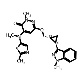 Cc1ncc(N(C)c2cc(OC[C@@H]3C[C@H]3c3nn(C)c4ccccc34)nn(C)c2=O)s1